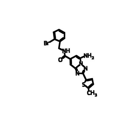 Cc1ccc(-c2nc3cc(C(=O)NCc4ccccc4Br)cc(N)n3n2)s1